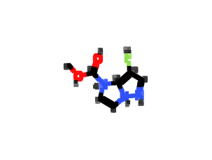 COC(=O)n1ccn2ncc(F)c12